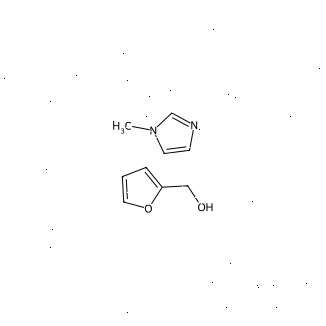 Cn1ccnc1.OCc1ccco1